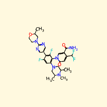 CC1CN(c2ncc(-c3c(F)cc(N4C[C@@H](C)N(C)[C@@H](C)C4)c(-n4cc(C(N)=O)c(C(F)F)cc4=O)c3F)cn2)CCO1